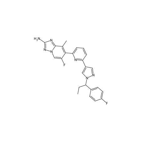 CCC(c1ccc(F)cc1)n1cc(-c2cccc(-c3c(F)cn4nc(N)nc4c3C)n2)cn1